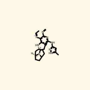 C=Nc1nc(Nc2cc(C)[nH]n2)nc(N[C@@H]2CCC3CC[C@@H](C2)N3CCC#N)c1/N=C\C